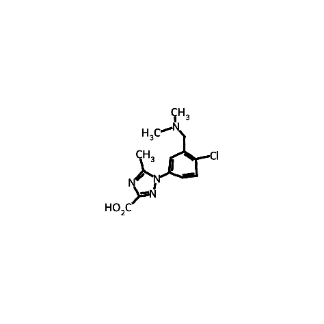 Cc1nc(C(=O)O)nn1-c1ccc(Cl)c(CN(C)C)c1